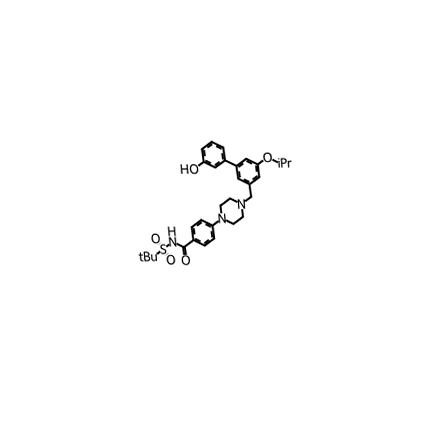 CC(C)Oc1cc(CN2CCN(c3ccc(C(=O)NS(=O)(=O)C(C)(C)C)cc3)CC2)cc(-c2cccc(O)c2)c1